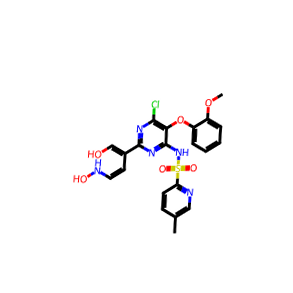 COc1ccccc1Oc1c(Cl)nc(C(/C=C\NO)=C/O)nc1NS(=O)(=O)c1ccc(C)cn1